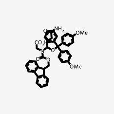 COc1ccc(C(OC(CCC(N)=O)N(CC(=O)O)C(=O)OCC2c3ccccc3-c3ccccc32)(c2ccccc2)c2ccc(OC)cc2)cc1